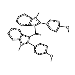 C=C(c1c(-c2ccc(OC)cc2)n(C)c2ccccc12)c1c(-c2ccc(OC)cc2)n(C)c2ccccc12